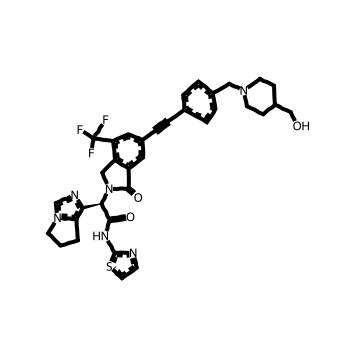 O=C(Nc1nccs1)[C@@H](c1ncn2c1CCC2)N1Cc2c(cc(C#Cc3ccc(CN4CCC(CO)CC4)cc3)cc2C(F)(F)F)C1=O